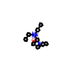 C1=C(c2ccccc2)CCC(c2nc(-c3cccc(-c4ccccc4)c3)nc(-c3ccc(-n4c5ccccc5c5cc6ccccc6cc54)c4c3oc3ccccc34)n2)=C1